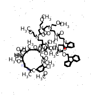 COCCN(CCC(=O)N(C)[C@@H](C)C(=O)O[C@H]1CC(=O)N(C)c2cc(cc(OC)c2Cl)C/C(C)=C/C=C/[C@@H](OC)[C@@]2(O)C[C@H](OC(=O)N2)[C@@H](C)C2O[C@]21C)C(=O)CN(CCOC)C(=O)CN(CCOC)C(=O)CNC(=O)CCn1c(CN(C)N(C)C(=O)OCC2c3ccccc3-c3ccccc32)cc2ccccc21